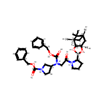 CC1(C)[C@@H]2C[C@H]3OB(C4CCCN4C(=O)CN(C(=O)OCc4ccccc4)C4CCN(C(=O)OCc5ccccc5)C4)O[C@@]3(C)[C@H]1C2